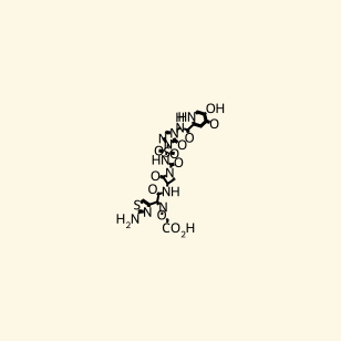 Nc1nc(C(=NOCC(=O)O)C(=O)NC2CN(C(=O)NS(=O)(=O)n3ncn(NC(=O)c4cc(=O)c(O)c[nH]4)c3=O)C2=O)cs1